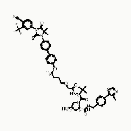 Cc1ncsc1-c1ccc(CNC(=O)[C@@H]2C[C@@H](O)CN2C(=O)[C@@H](NC(=O)COCCC[C@H](C)Oc2ccc(-c3ccc(N4C(=S)N(c5ccc(C#N)c(C(F)(F)F)c5)C(=O)C4(C)C)cc3)cc2)C(C)(C)C)cc1